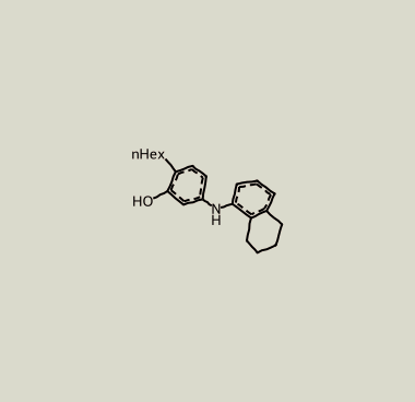 CCCCCCc1ccc(Nc2cccc3c2CCCC3)cc1O